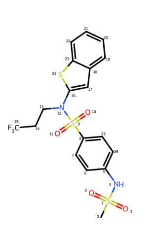 CS(=O)(=O)Nc1ccc(S(=O)(=O)N(CCC(F)(F)F)c2cc3ccccc3s2)cc1